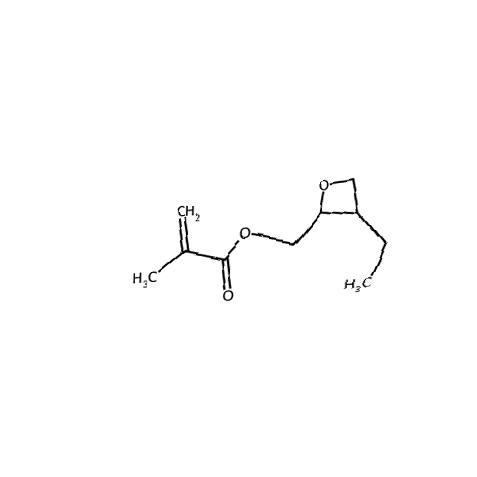 C=C(C)C(=O)OCC1OCC1CC